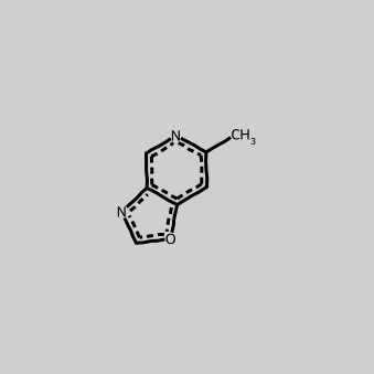 Cc1cc2ocnc2cn1